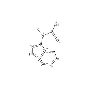 CN(C(=O)O)c1n[nH]c2ccccc12